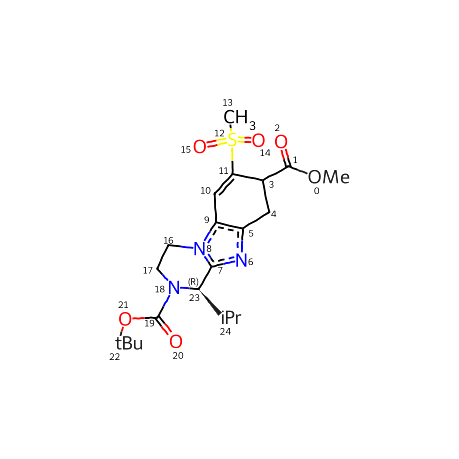 COC(=O)C1Cc2nc3n(c2C=C1S(C)(=O)=O)CCN(C(=O)OC(C)(C)C)[C@@H]3C(C)C